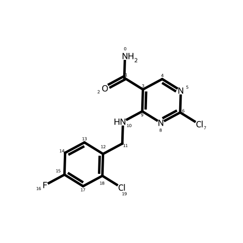 NC(=O)c1cnc(Cl)nc1NCc1ccc(F)cc1Cl